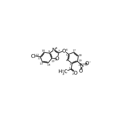 CC(=O)c1cc(Oc2nc3cc(Cl)ccc3o2)ccc1[N+](=O)[O-]